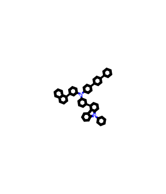 c1ccc(-c2ccc(-c3ccc(N(c4cccc(-c5cccc6ccccc56)c4)c4cccc(-c5cccc6c5c5ccccc5n6-c5ccccc5)c4)cc3)cc2)cc1